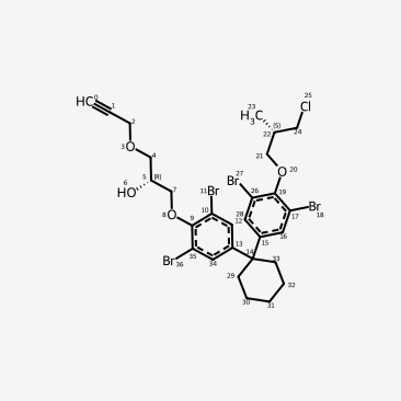 C#CCOC[C@@H](O)COc1c(Br)cc(C2(c3cc(Br)c(OC[C@H](C)CCl)c(Br)c3)CCCCC2)cc1Br